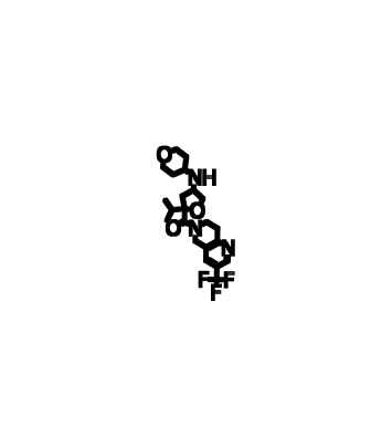 CC(C)C1(C(=O)N2CCc3ncc(C(F)(F)F)cc3C2)CC(NC2CCOCC2)CO1